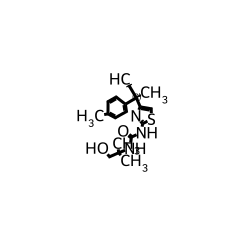 C#C[C@@](C)(c1ccc(C)cc1)c1csc(NC(=O)NC(C)(C)CO)n1